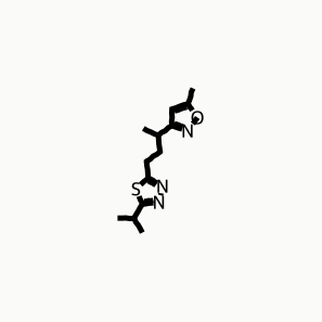 Cc1cc(C(C)CCc2nnc(C(C)C)s2)no1